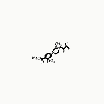 COC(=O)c1ccc(N2CCN(CC(F)C(F)F)C(C)C2)cc1[N+](=O)[O-]